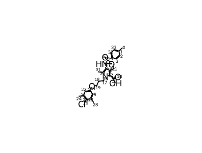 Cc1ccc(S(=O)(=O)Nc2c(C)c(C(=O)O)n(CCCOc3cc(C)c(Cl)c(C)c3)c2C)cc1